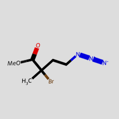 COC(=O)C(C)(Br)CCN=[N+]=[N-]